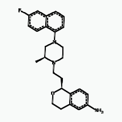 C[C@H]1CN(c2cccc3cc(F)ccc23)CCN1CC[C@@H]1OCCc2cc(N)ccc21